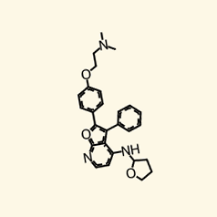 CN(C)CCOc1ccc(-c2oc3nccc(NC4CCCO4)c3c2-c2ccccc2)cc1